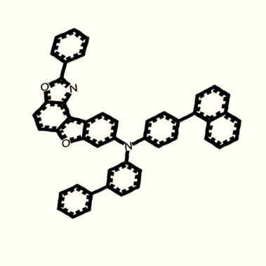 c1ccc(-c2cccc(N(c3ccc(-c4cccc5ccccc45)cc3)c3ccc4c(c3)oc3ccc5oc(-c6ccccc6)nc5c34)c2)cc1